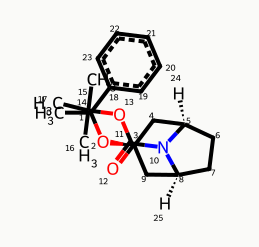 CC(O[C@H]1C[C@H]2CC[C@@H](C1)N2C(=O)OC(C)(C)C)c1ccccc1